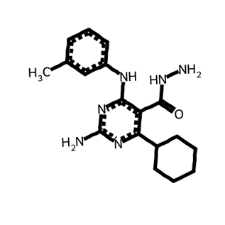 Cc1cccc(Nc2nc(N)nc(C3CCCCC3)c2C(=O)NN)c1